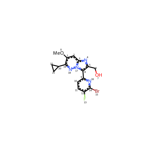 COc1cc2nc(CO)c(-c3ccc(F)c(Br)n3)n2nc1C1CC1